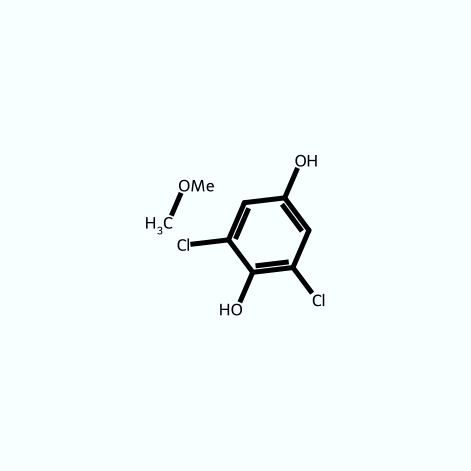 COC.Oc1cc(Cl)c(O)c(Cl)c1